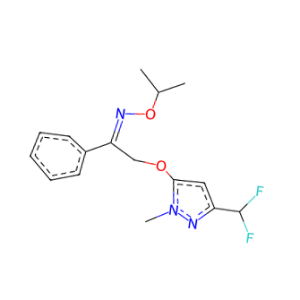 CC(C)ON=C(COc1cc(C(F)F)nn1C)c1ccccc1